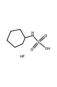 F.O=S(=O)(O)NC1CCCCC1